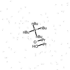 CC(C)O.CC(C)[O-].CCCC[N+](CCCC)(CCCC)CCCC